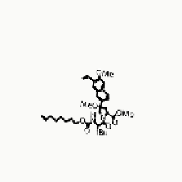 C=CCCCCCCOC(=O)NC(C(=O)N1C[C@](OC)(c2ccc3cc(OC)c(C=C)cc3c2)C[C@H]1C(=O)OC)C(C)(C)C